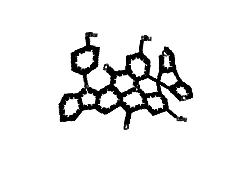 CC(C)(C)c1ccc(-n2c3ccccc3c3cc4c(=O)c5cc(C(C)(C)C)cc6c5n5c7c(cc(C(C)(C)C)cc7c(=O)c(c32)c45)C62c3ccccc3-c3ccccc32)cc1